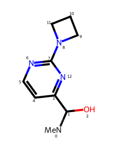 CNC(O)c1ccnc(N2CCC2)n1